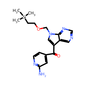 C[Si](C)(C)CCOCn1cc(C(=O)c2ccnc(N)c2)c2cncnc21